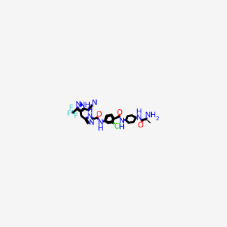 C[C@H](N)C(=O)NC1CCC(NC(=O)c2ccc(NC(=O)c3ncc(Cc4c(C(F)(F)F)n[nH]c4CC#N)[nH]3)cc2Cl)CC1